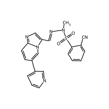 CN(N=Cc1cnc2ccc(-c3cccnc3)cn12)S(=O)(=O)c1ccccc1C#N